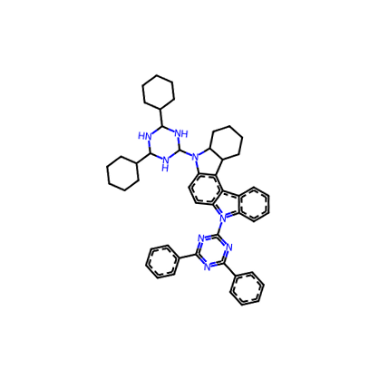 c1ccc(-c2nc(-c3ccccc3)nc(-n3c4ccccc4c4c5c(ccc43)N(C3NC(C4CCCCC4)NC(C4CCCCC4)N3)C3CCCCC53)n2)cc1